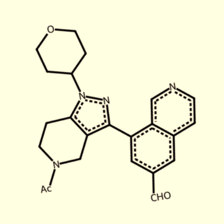 CC(=O)N1CCc2c(c(-c3cc(C=O)cc4ccncc34)nn2C2CCOCC2)C1